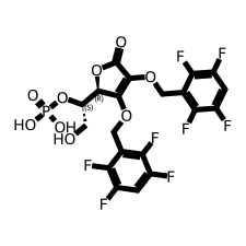 O=C1O[C@H]([C@H](CO)OP(=O)(O)O)C(OCc2c(F)c(F)cc(F)c2F)=C1OCc1c(F)c(F)cc(F)c1F